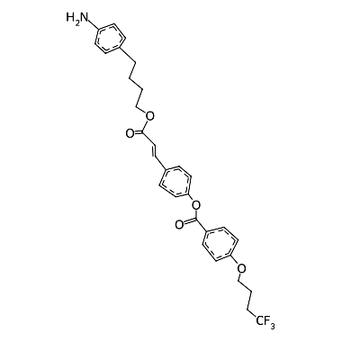 Nc1ccc(CCCCOC(=O)/C=C/c2ccc(OC(=O)c3ccc(OCCCC(F)(F)F)cc3)cc2)cc1